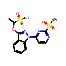 CCCS(=O)(=O)c1nccc(-n2nc(OC(C)S(=O)(=O)CC)c3ccccc32)n1